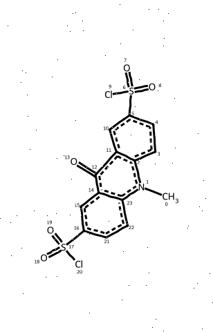 Cn1c2ccc(S(=O)(=O)Cl)cc2c(=O)c2cc(S(=O)(=O)Cl)ccc21